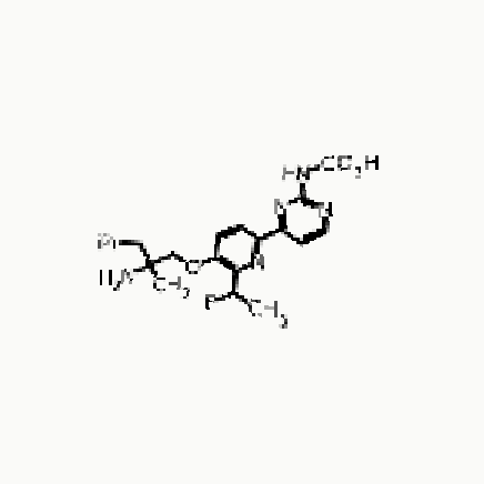 CC(C)CC(C)(N)COc1ccc(-c2ccnc(NC(=O)O)n2)nc1C(C)F